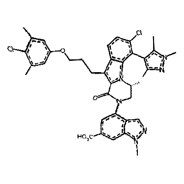 Cc1cc(OCCCc2c3n(c4c(-c5c(C)nn(C)c5C)c(Cl)ccc24)[C@H](C)CN(c2cc(C(=O)O)cc4c2cnn4C)C3=O)cc(C)c1Cl